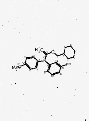 C=C(OCC1CCCCC1)N(c1ccc(OC)cc1)c1cccc(F)c1